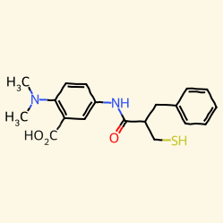 CN(C)c1ccc(NC(=O)C(CS)Cc2ccccc2)cc1C(=O)O